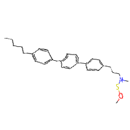 CCCCCc1ccc(-c2ccc(-c3ccc(CCCN(C)SOC)cc3)cc2)cc1